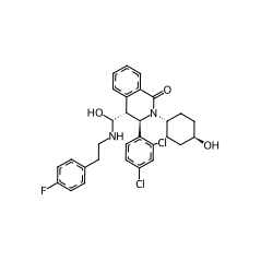 O=C1c2ccccc2[C@@H](C(O)NCCc2ccc(F)cc2)[C@H](c2ccc(Cl)cc2Cl)N1[C@H]1CC[C@H](O)CC1